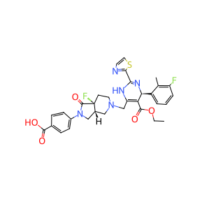 CCOC(=O)C1=C(CN2CC[C@@]3(F)C(=O)N(c4ccc(C(=O)O)cc4)C[C@H]3C2)NC(c2nccs2)=N[C@H]1c1cccc(F)c1C